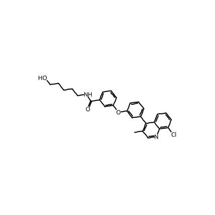 Cc1cnc2c(Cl)cccc2c1-c1cccc(Oc2cccc(C(=O)NCCCCCO)c2)c1